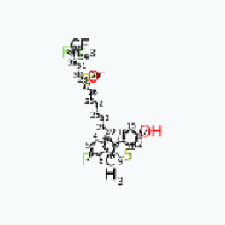 CC1(c2cccc(F)c2)CSc2cc(O)ccc2C1CCCCCCCCC[S+]([O-])CCCC(F)(F)C(F)(F)F